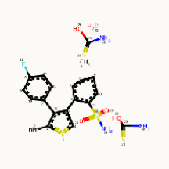 C.CCCc1scc(-c2ccccc2S(N)(=O)=O)c1-c1ccc(F)cc1.NC(O)=S.NC(O)=S.O